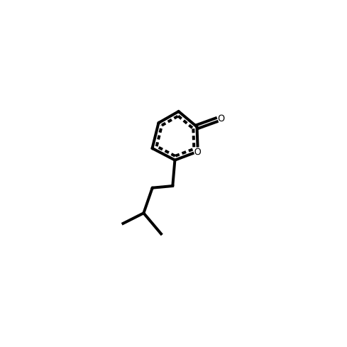 CC(C)CCc1cccc(=O)o1